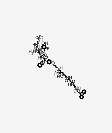 CCC(=O)NCCNC(=O)/N=C(/N)NCCC[C@@H](NC(=O)[C@H](c1ccc(OCCCNC(=O)C[C@H](O)C[C@H](O)CCNC(=O)CCC(=O)NCCNC(=O)OCC2c3ccccc3-c3ccccc32)cc1)N1Cc2ccccc2C1)C(=O)NCc1c(F)cc(O)cc1F